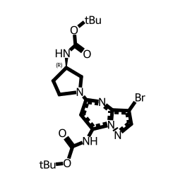 CC(C)(C)OC(=O)Nc1cc(N2CC[C@@H](NC(=O)OC(C)(C)C)C2)nc2c(Br)cnn12